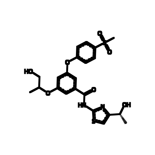 CC(CO)Oc1cc(Oc2ccc(S(C)(=O)=O)cc2)cc(C(=O)Nc2nc([C@@H](C)O)cs2)c1